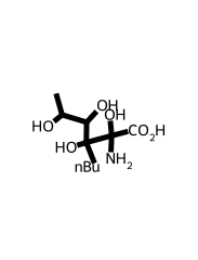 CCCCC(O)(C(O)C(C)O)C(N)(O)C(=O)O